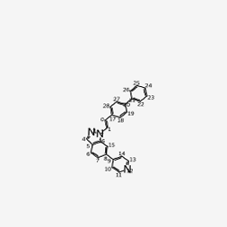 C(=Cn1ncc2ccc(-c3ccncc3)cc21)c1ccc(-c2ccccc2)cc1